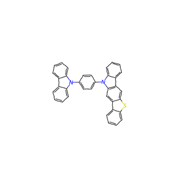 c1ccc2c(c1)sc1cc3c4ccccc4n(-c4ccc(-n5c6ccccc6c6ccccc65)cc4)c3cc12